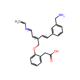 C=C/N=C/C=C(\C=C\c1cccc(CN)c1)COc1ccccc1CC(=O)O